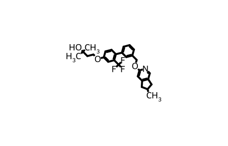 CC1Cc2cnc(OCc3cccc(-c4ccc(OCCC(C)(C)O)cc4C(F)(F)F)c3)cc2C1